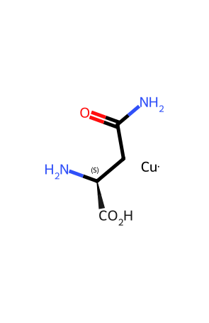 NC(=O)C[C@H](N)C(=O)O.[Cu]